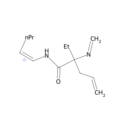 C=CCC(CC)(N=C)C(=O)N/C=C\CCC